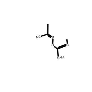 C/N=C(/NC)O/N=C(/C)C#N